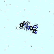 COc1cccc(OC)c1N(C)Cc1nc2cc(-n3ccnc3)c(-c3ccncc3)cc2[nH]1